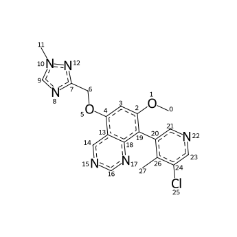 COc1cc(OCc2ncn(C)n2)c2cncnc2c1-c1cncc(Cl)c1C